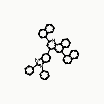 c1ccc(-c2nc3cc(-c4cc(-c5cccc6ccccc56)nc5c4cc(-c4cccc6ccccc46)c4ccccc45)ccc3n2-c2ccccc2)cc1